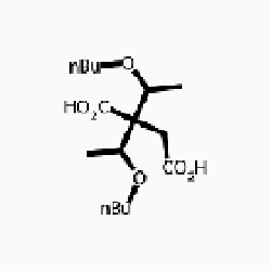 CCCCOC(C)C(CC(=O)O)(C(=O)O)C(C)OCCCC